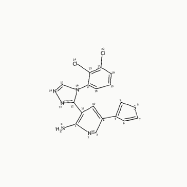 Nc1ncc(-c2ccsc2)cc1-c1nncn1-c1cccc(Cl)c1Cl